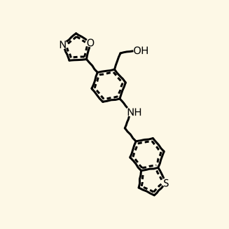 OCc1cc(NCc2ccc3sccc3c2)ccc1-c1cnco1